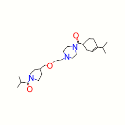 CC(C)C(=O)N1CCC(COCCN2CCN(C(=O)C3CC=C(C(C)C)CC3)CC2)CC1